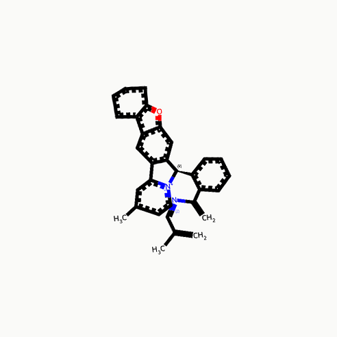 C=C(C)/C=N\C(=C)c1ccccc1[C@@H]1c2cc3oc4ccccc4c3cc2-c2cc(C)cc[n+]21